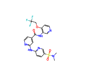 CN(C)S(=O)(=O)c1ccc(Nc2cc(C(=O)Nc3cnccc3OCC(F)(F)F)ccn2)nc1